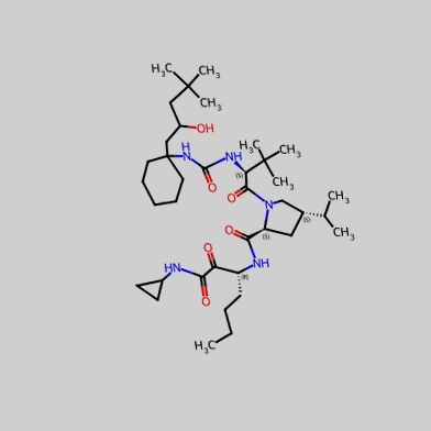 CCCC[C@@H](NC(=O)[C@@H]1C[C@@H](C(C)C)CN1C(=O)[C@@H](NC(=O)NC1(CC(O)CC(C)(C)C)CCCCC1)C(C)(C)C)C(=O)C(=O)NC1CC1